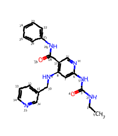 CCNC(=O)Nc1cc(NCc2cccnc2)c(C(=O)Nc2ccccc2)cn1